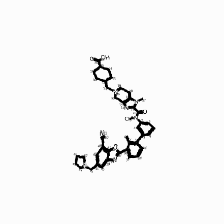 Cc1c(-c2cccc(N(Cl)C(=O)c3nc4c(n3C)CCN(CC3CCC(C(=O)O)CC3)C4)c2)cccc1-c1nc2cc(CN3CCCC3)cc(C#N)c2o1